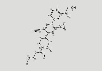 C=C(CO)c1cc(-c2cc(C#N)c(N3CCN(C(=O)CCOC)C(C)C3)nc2C2CC2)ccn1